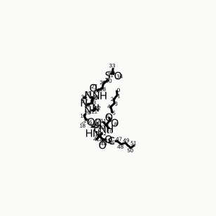 CCCCCCOC(=O)C(C)(C)NP(=O)(CO[C@H](C)Cn1cnc2c(NC(=O)CCCSC(C)=O)ncnc21)NC(C)(C)C(=O)OCCCCCC